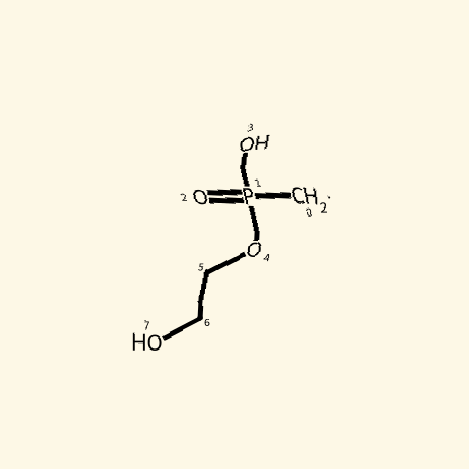 [CH2]P(=O)(O)OCCO